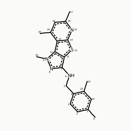 Cc1ccc(CNc2nn(C)c3c2sc2nc(C)cc(C)c23)c(C)c1